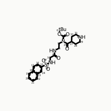 CC(C)(C)OC(=O)N(CCNC(=O)CNS(=O)(=O)c1ccc2ccccc2c1)C(=O)C1CCNCC1